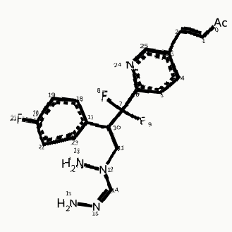 CC(=O)/C=C/c1ccc(C(F)(F)C(CN(N)/C=N\N)c2ccc(F)cc2)nc1